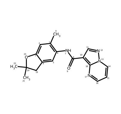 Cc1cc2c(cc1NC(=O)c1cnn3cccnc13)CC(C)(C)O2